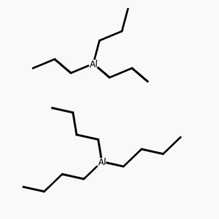 CCC[CH2][Al]([CH2]CCC)[CH2]CCC.CC[CH2][Al]([CH2]CC)[CH2]CC